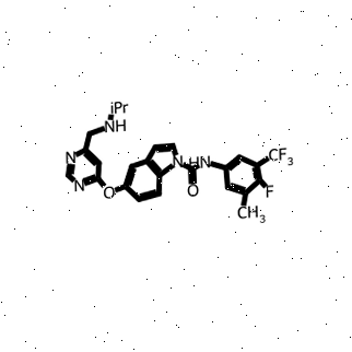 Cc1cc(NC(=O)n2ccc3cc(Oc4cc(CNC(C)C)ncn4)ccc32)cc(C(F)(F)F)c1F